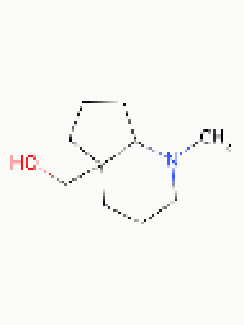 CN1CCCC2(CO)CCCC12